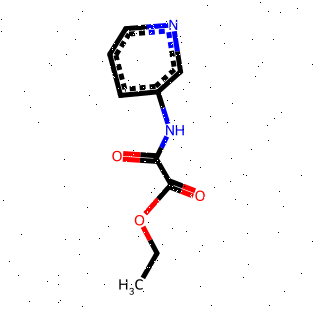 CCOC(=O)C(=O)Nc1cccnc1